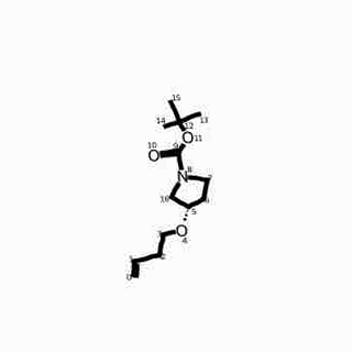 C=CCCO[C@H]1CCN(C(=O)OC(C)(C)C)C1